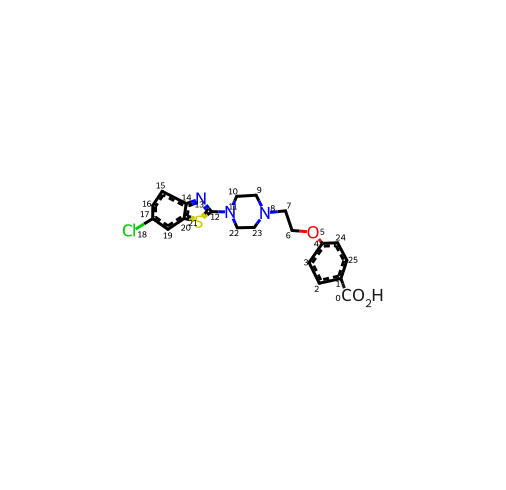 O=C(O)c1ccc(OCCN2CCN(c3nc4ccc(Cl)cc4s3)CC2)cc1